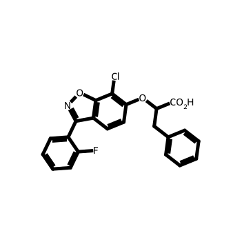 O=C(O)C(Cc1ccccc1)Oc1ccc2c(-c3ccccc3F)noc2c1Cl